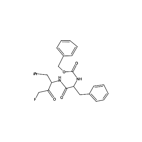 CC(C)CC(NC(=O)C(Cc1ccccc1)NC(=O)OCc1ccccc1)C(=O)CF